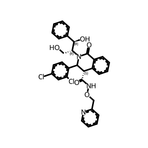 O=C(NOCc1ccccn1)[C@H]1c2ccccc2C(=O)N([C@H](CO)[C@H](O)c2ccccc2)C1c1ccc(Cl)cc1Cl